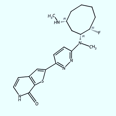 CN[C@@H]1CCCC[C@H](F)[C@H](N(C)c2ccc(-c3cc4cc[nH]c(=O)c4s3)nn2)C1